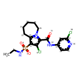 CCNS(=O)(=O)c1c(Cl)c(C(=O)Nc2ccnc(Cl)c2)n2c1CCCCC2